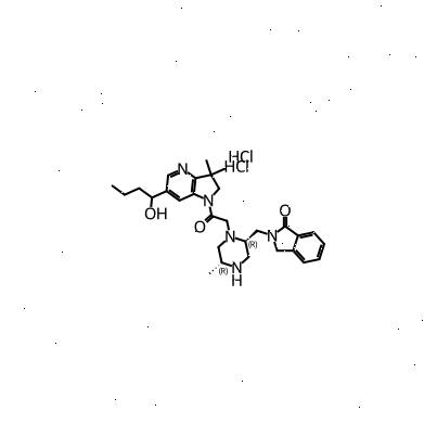 CCCC(O)c1cnc2c(c1)N(C(=O)CN1C[C@@H](C)NC[C@@H]1CN1Cc3ccccc3C1=O)CC2(C)C.Cl.Cl